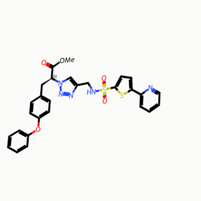 COC(=O)[C@H](Cc1ccc(Oc2ccccc2)cc1)n1cc(CNS(=O)(=O)c2ccc(-c3ccccn3)s2)nn1